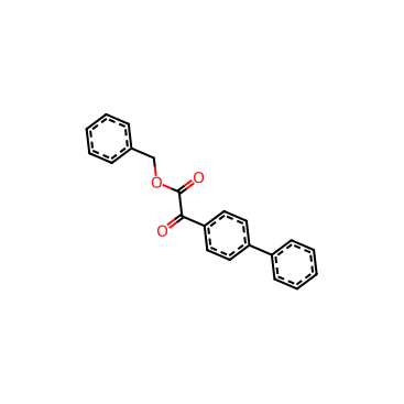 O=C(OCc1ccccc1)C(=O)c1ccc(-c2ccccc2)cc1